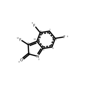 O=C1N=c2cc(F)cc(F)c2=C1F